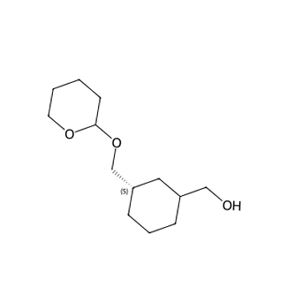 OCC1CCC[C@H](COC2CCCCO2)C1